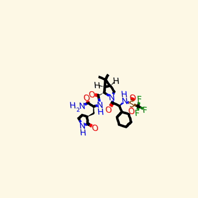 CC1(C)[C@@H]2[C@@H](C(=O)N[C@@H](C[C@@H]3CCNC3=O)C(N)=O)N(C(=O)[C@@H](NS(=O)(=O)C(F)(F)F)C3CCCCC3)C[C@@H]21